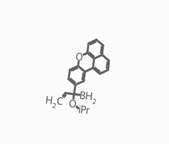 BC(C=C)(OC(C)C)c1ccc2c(c1)-c1cccc3cccc(c13)O2